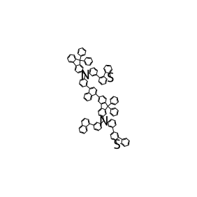 c1ccc(C2(c3ccccc3)c3ccccc3-c3ccc(N(c4cccc(-c5ccc(-c6ccc7c(c6)-c6ccc(N(c8cccc(-c9ccc%10sc%11ccccc%11c%10c9)c8)c8cccc(-c9cccc%10ccccc9%10)c8)cc6C7(c6ccccc6)c6ccccc6)c6ccccc56)c4)c4cccc(-c5cccc6sc7ccccc7c56)c4)cc32)cc1